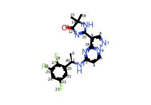 C[C@@H](Nc1ccn2ncc(C3=NC(=O)C(C)(C)N3)c2n1)c1cc(F)cc(F)c1F